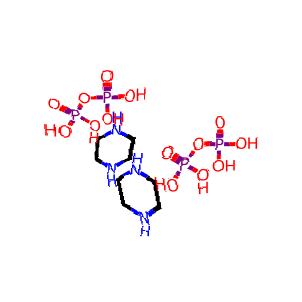 C1CNCCN1.C1CNCCN1.O=P(O)(O)OP(=O)(O)O.O=P(O)(O)OP(=O)(O)O